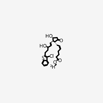 [2H]COC(=O)CCC/C=C\C[C@H]1C(=O)C[C@@H](O)[C@@H]1/C=C/C(O)CCc1sc2ccccc2c1Cl